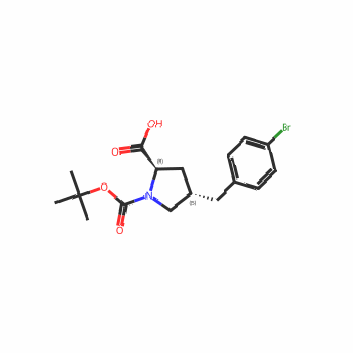 CC(C)(C)OC(=O)N1C[C@@H](Cc2ccc(Br)cc2)C[C@@H]1C(=O)O